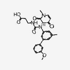 COc1cccc(-c2cc(C)cc(N(C(=O)NCCC(=O)O)[C@H]3C(=O)C=CN(C)C3=O)c2)c1